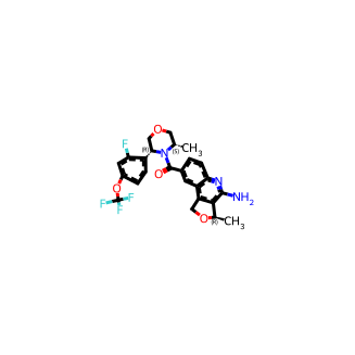 C[C@H]1OCc2c1c(N)nc1ccc(C(=O)N3[C@@H](C)COC[C@H]3c3ccc(OC(F)(F)F)cc3F)cc21